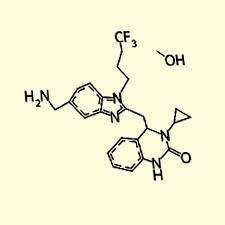 CO.NCc1ccc2c(c1)nc(CC1c3ccccc3NC(=O)N1C1CC1)n2CCCC(F)(F)F